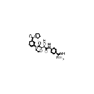 C[C@H]1CCCN1C(=O)c1cccc(N2CCO[C@H]([C@@H](O)C(=O)Nc3ccc(C(=N)N)cc3)C2=O)c1